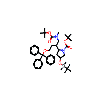 CN(CC(CCOC(c1ccccc1)(c1ccccc1)c1ccccc1)C1CC(O[Si](C)(C)C(C)(C)C)CN1C(=O)OC(C)(C)C)C(=O)OC(C)(C)C